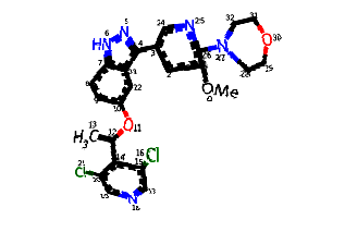 COc1cc(-c2n[nH]c3ccc(OC(C)c4c(Cl)cncc4Cl)cc23)cnc1N1CCOCC1